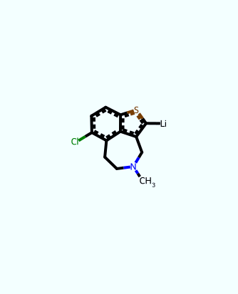 [Li][c]1sc2ccc(Cl)c3c2c1CN(C)CC3